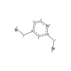 BrCc1ccnc(CBr)c1